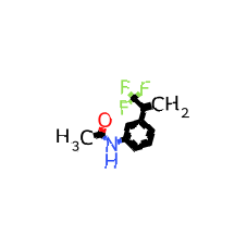 C=C(c1cccc(NC(C)=O)c1)C(F)(F)F